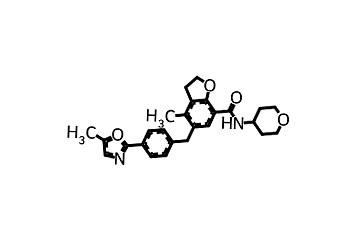 Cc1cnc(-c2ccc(Cc3cc(C(=O)NC4CCOCC4)c4c(c3C)CCO4)cc2)o1